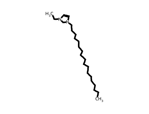 CCCCCCCCCCCCCCCCCCN1C=CN(CC)C1